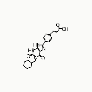 O=C(O)C=Cc1ccc(-c2nc3c(=O)n(CC4CCCCC4)c(=O)[nH]c3[nH]2)cc1